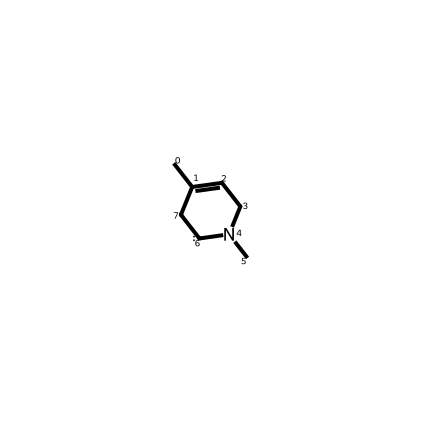 CC1=CCN(C)[C]C1